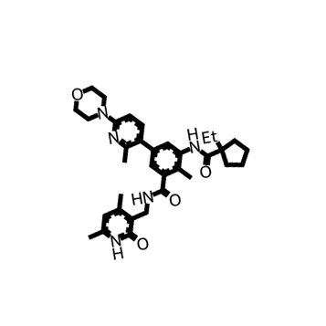 CCC1(C(=O)Nc2cc(-c3ccc(N4CCOCC4)nc3C)cc(C(=O)NCc3c(C)cc(C)[nH]c3=O)c2C)CCCC1